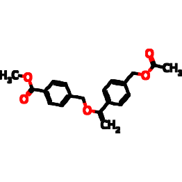 C=C(OCc1ccc(C(=O)OC)cc1)c1ccc(COC(C)=O)cc1